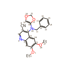 CCOc1cc2ncc(C#N)c(N(Cc3ccccc3)C3=COCO3)c2cc1OCC